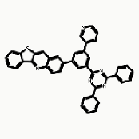 c1ccc(-c2nc(-c3ccccc3)nc(-c3cc(-c4cccnc4)cc(-c4ccc5nc6c(cc5c4)sc4ccccc46)c3)n2)cc1